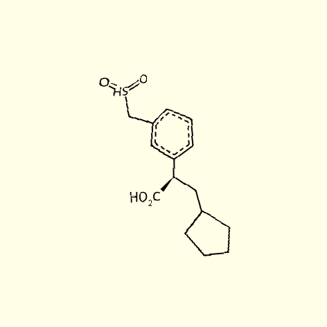 O=C(O)[C@H](CC1CCCC1)c1cccc(C[SH](=O)=O)c1